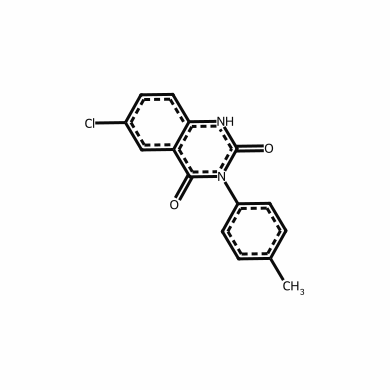 Cc1ccc(-n2c(=O)[nH]c3ccc(Cl)cc3c2=O)cc1